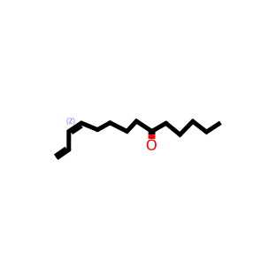 C=C/C=C\CCCCC(=O)CCCCC